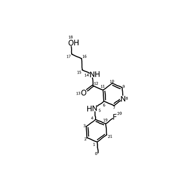 Cc1ccc(Nc2cnccc2C(=O)NCCCO)c(F)c1